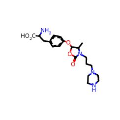 CC1C(Oc2ccc(CC(N)C(=O)O)cc2)OC(=O)N1CCCN1CCNCC1